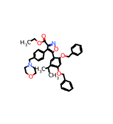 CCOC(=O)c1noc(-c2cc(C(C)C)c(OCc3ccccc3)cc2OCc2ccccc2)c1-c1ccc(CN2CCOCC2)cc1